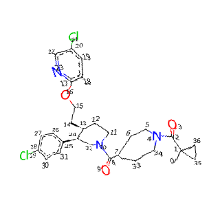 CC1(C(=O)N2CCC(C(=O)N3CC[C@H](CCOc4ccc(Cl)cn4)[C@H](c4ccc(Cl)cc4)C3)CC2)CC1